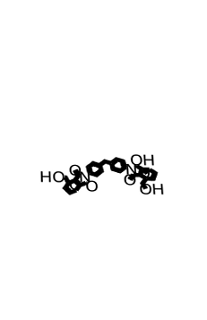 O=C1C2C3C=CC(CO)(O3)C2C(=O)N1c1ccc(Cc2ccc(N3C(=O)C4C(C5C=CC4(CO)O5)C3O)cc2)cc1